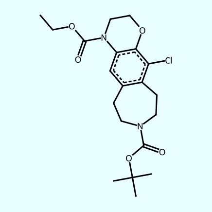 CCOC(=O)N1CCOc2c1cc1c(c2Cl)CCN(C(=O)OC(C)(C)C)CC1